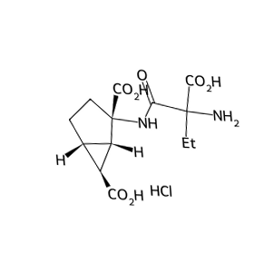 CCC(N)(C(=O)O)C(=O)N[C@@]1(C(=O)O)CC[C@H]2[C@H](C(=O)O)[C@H]21.Cl